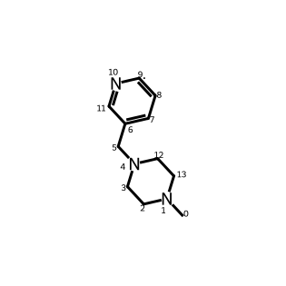 CN1CCN(Cc2cc[c]nc2)CC1